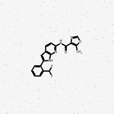 Cc1ocnc1C(=O)Nc1ccc2cc(-c3ccccc3C(F)F)[nH]c2n1